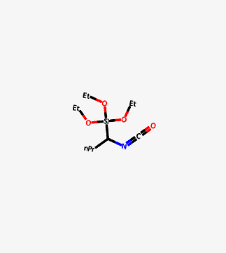 CCCC(N=C=O)[Si](OCC)(OCC)OCC